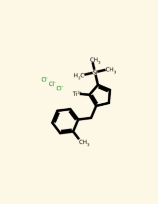 Cc1ccccc1CC1=[C]([Ti+3])C([Si](C)(C)C)=CC1.[Cl-].[Cl-].[Cl-]